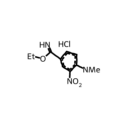 CCOC(=N)c1ccc(NC)c([N+](=O)[O-])c1.Cl